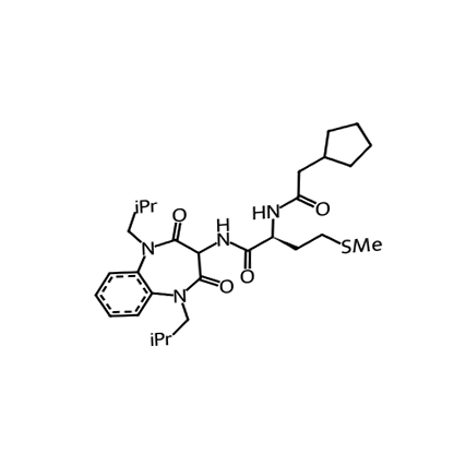 CSCC[C@H](NC(=O)CC1CCCC1)C(=O)NC1C(=O)N(CC(C)C)c2ccccc2N(CC(C)C)C1=O